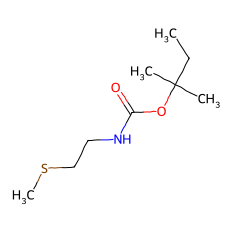 CCC(C)(C)OC(=O)NCCSC